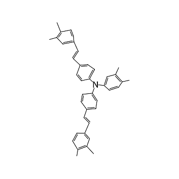 Cc1ccc(/C=C/c2ccc(N(c3ccc(/C=C/c4ccc(C)c(C)c4)cc3)c3ccc(C)c(C)c3)cc2)cc1C